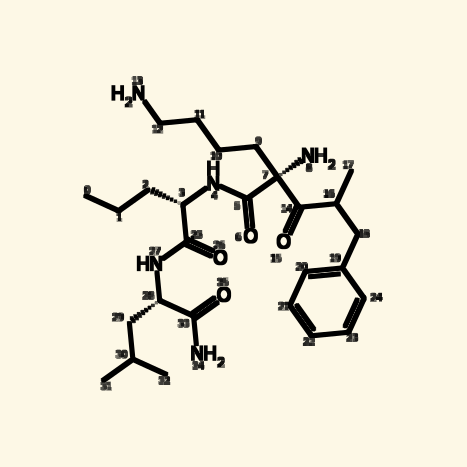 CCC[C@H](NC(=O)[C@@](N)(CCCCN)C(=O)C(C)Cc1ccccc1)C(=O)N[C@@H](CC(C)C)C(N)=O